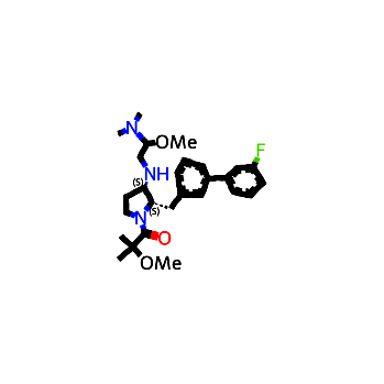 COC(CN[C@H]1CCN(C(=O)C(C)(C)OC)[C@H]1Cc1cccc(-c2cccc(F)c2)c1)N(C)C